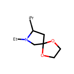 CCN1CC2(CC1C(C)C)OCCO2